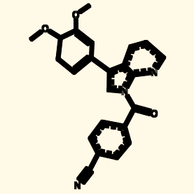 COC1=CC(c2cn(C(=O)c3ccc(C#N)cc3)c3ncccc23)=CCC1OC